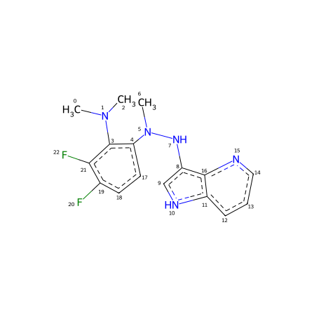 CN(C)c1c(N(C)Nc2c[nH]c3cccnc23)ccc(F)c1F